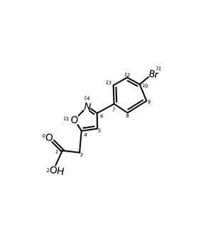 O=C(O)Cc1cc(-c2ccc(Br)cc2)no1